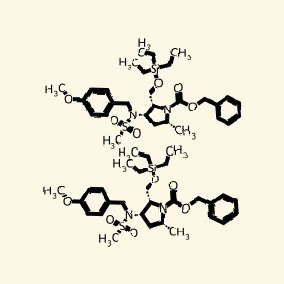 CC[Si](CC)(CC)OC[C@H]1[C@@H](N(Cc2ccc(OC)cc2)S(C)(=O)=O)C[C@@H](C)N1C(=O)OCc1ccccc1.CC[Si](CC)(CC)OC[C@H]1[C@@H](N(Cc2ccc(OC)cc2)S(C)(=O)=O)C[C@@H](C)N1C(=O)OCc1ccccc1